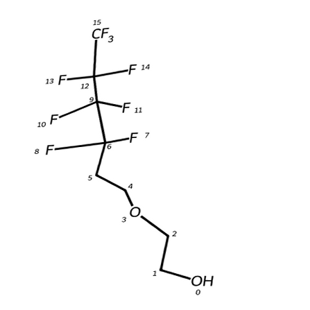 OCCOCCC(F)(F)C(F)(F)C(F)(F)C(F)(F)F